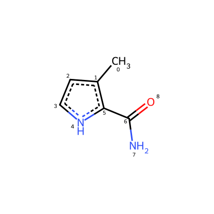 Cc1cc[nH]c1C(N)=O